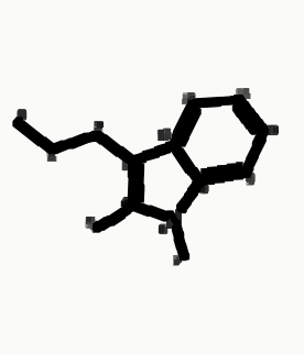 CCCc1c(C)n(C)c2ccccc12